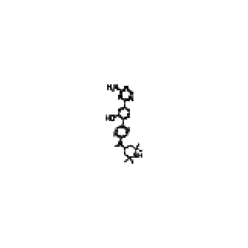 CN(c1cnc(-c2ccc(-c3ncnc(N)n3)cc2O)cn1)C1CC(C)(C)NC(C)(C)C1